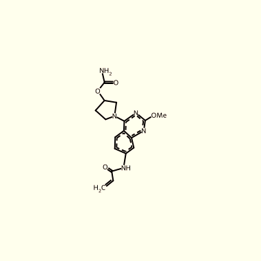 C=CC(=O)Nc1ccc2c(N3CCC(OC(N)=O)C3)nc(OC)nc2c1